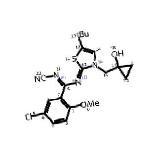 COc1ccc(Cl)cc1C(/N=c1\sc(C(C)(C)C)cn1CC1(O)CC1)=N\C#N